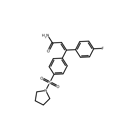 NC(=O)C=C(c1ccc(F)cc1)c1ccc(S(=O)(=O)N2CCCC2)cc1